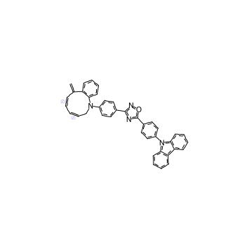 C=C1/C=C\C=C/CN(c2ccc(-c3noc(-c4ccc(-n5c6ccccc6c6ccccc65)cc4)n3)cc2)c2ccccc21